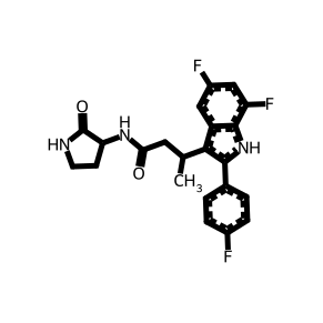 CC(CC(=O)NC1CCNC1=O)c1c(-c2ccc(F)cc2)[nH]c2c(F)cc(F)cc12